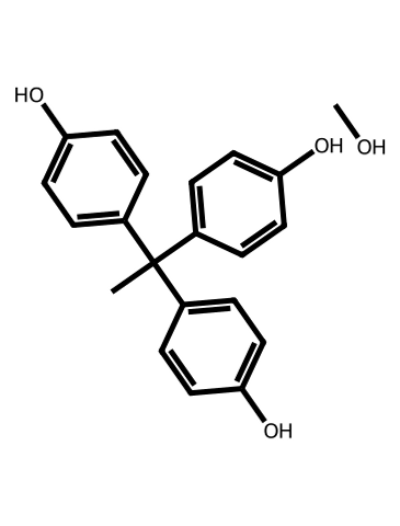 CC(c1ccc(O)cc1)(c1ccc(O)cc1)c1ccc(O)cc1.CO